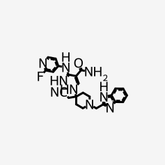 N#CCC1(N/C=C(\C(=N)Nc2ccnc(F)c2)C(N)=O)CCN(Cc2nc3ccccc3[nH]2)CC1